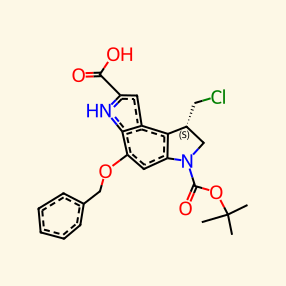 CC(C)(C)OC(=O)N1C[C@@H](CCl)c2c1cc(OCc1ccccc1)c1[nH]c(C(=O)O)cc21